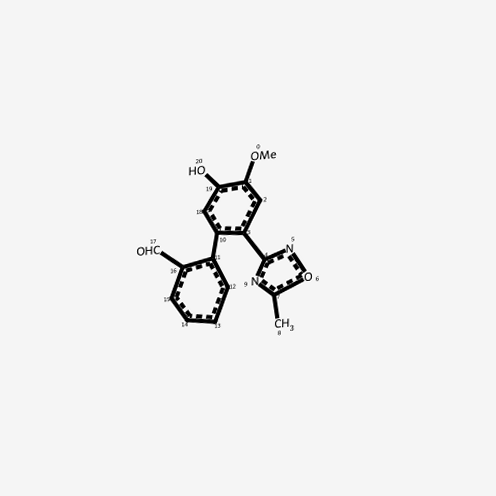 COc1cc(-c2noc(C)n2)c(-c2ccccc2C=O)cc1O